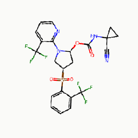 N#CC1(NC(=O)O[C@H]2C[C@@H](S(=O)(=O)c3ccccc3C(F)(F)F)CN2c2ncccc2C(F)(F)F)CC1